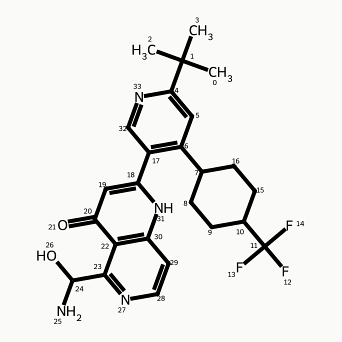 CC(C)(C)c1cc(C2CCC(C(F)(F)F)CC2)c(-c2cc(=O)c3c(C(N)O)nccc3[nH]2)cn1